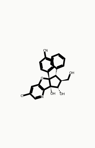 N#Cc1ccc([C@]23Oc4cc(Cl)cnc4[C@]2(O)[C@@H](O)[C@H](CO)[C@H]3c2ccccc2)cc1